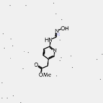 COC(=O)Cc1ccc(N/C=N/O)nc1